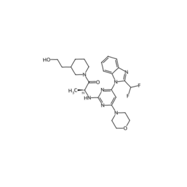 C[C@H](Nc1nc(N2CCOCC2)cc(-n2c(C(F)F)nc3ccccc32)n1)C(=O)N1CCCC(CCO)C1